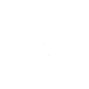 Oc1ccccc1-c1cccc2nc(-c3ccccc3)c(-c3ccccc3)nc12